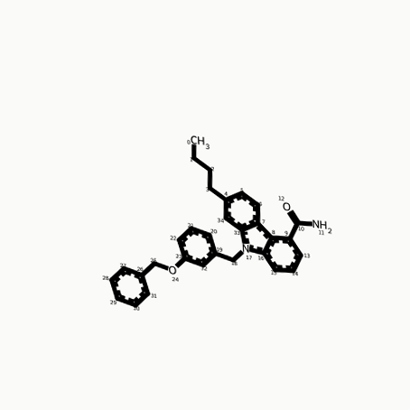 CCCCc1c[c]c2c3c(C(N)=O)cccc3n(Cc3cccc(OCc4ccccc4)c3)c2c1